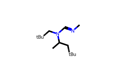 C/N=C/N(CC(C)(C)C)C(C)CC(C)(C)C